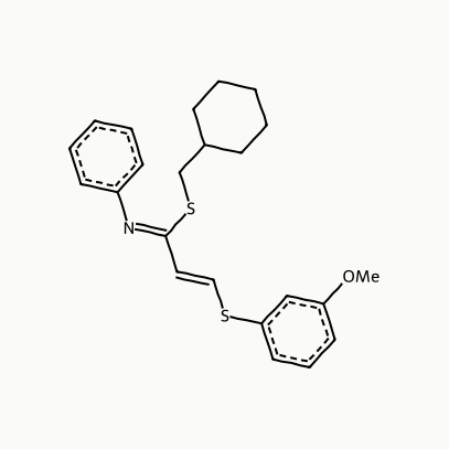 COc1cccc(SC=CC(=Nc2ccccc2)SCC2CCCCC2)c1